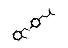 CC(=O)CCc1ccc(OCc2ccccc2Cl)cc1